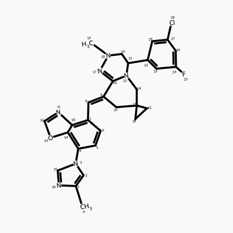 Cc1cn(-c2ccc(/C=C3\CC4(CC4)CN4C3=NN(C)CC4c3cc(F)cc(Cl)c3)c3ncoc23)cn1